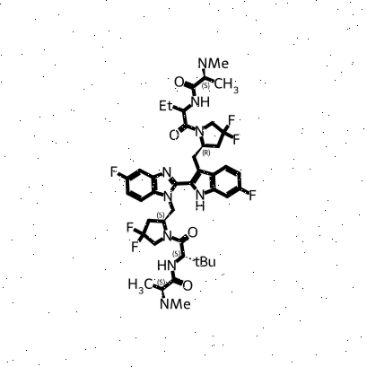 CCC(NC(=O)[C@H](C)NC)C(=O)N1CC(F)(F)C[C@H]1Cc1c(-c2nc3cc(F)ccc3n2C[C@@H]2CC(F)(F)CN2C(=O)[C@@H](NC(=O)[C@H](C)NC)C(C)(C)C)[nH]c2cc(F)ccc12